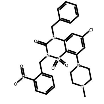 CN1CCN(c2cc(Cl)cc3c2S(=O)(=O)N(Cc2ccccc2[N+](=O)[O-])C(=O)N3Cc2ccccc2)CC1